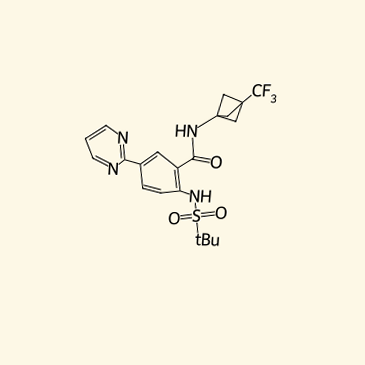 CC(C)(C)S(=O)(=O)Nc1ccc(-c2ncccn2)cc1C(=O)NC12CC(C(F)(F)F)(C1)C2